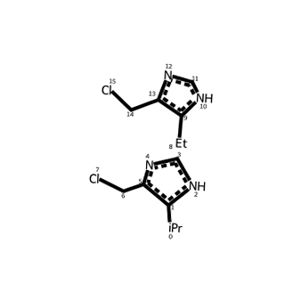 CC(C)c1[nH]cnc1CCl.CCc1[nH]cnc1CCl